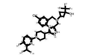 OC1(C(F)(F)F)CC(N2Cc3cc(Cl)ccc3-n3c(nnc3C3CCN(c4ccc(F)c(C(F)F)n4)CC3)C2)C1